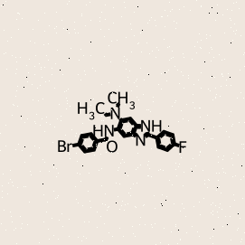 CCN(CC)c1cc2[nH]c(-c3ccc(F)cc3)nc2cc1NC(=O)c1ccc(Br)cc1